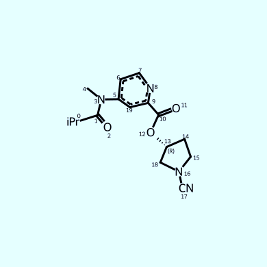 CC(C)C(=O)N(C)c1ccnc(C(=O)O[C@@H]2CCN(C#N)C2)c1